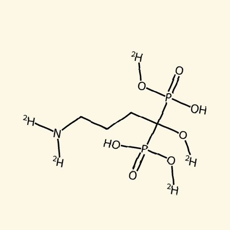 [2H]OC(CCCN([2H])[2H])(P(=O)(O)O[2H])P(=O)(O)O[2H]